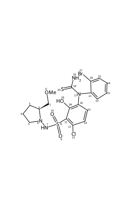 COC[C@@H]1CCCN1NS(=O)(=O)c1c(Cl)ccc(N(C(N)=S)c2ccccc2Br)c1O